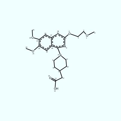 COCCOc1nc(N2CCC(CC(=O)O)CC2)c2cc(OC)c(OC)cc2n1